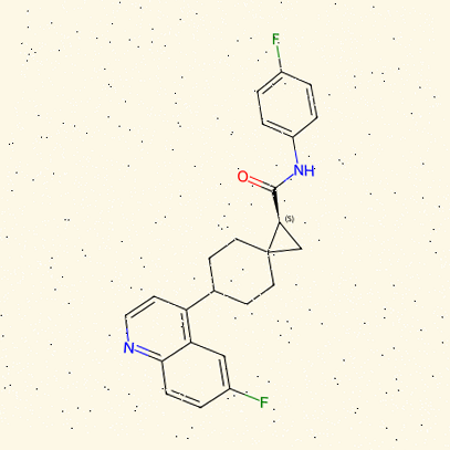 O=C(Nc1ccc(F)cc1)[C@H]1CC12CCC(c1ccnc3ccc(F)cc13)CC2